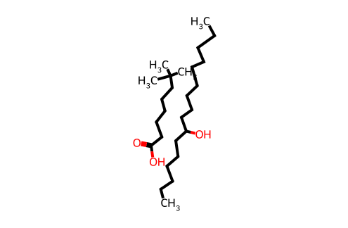 CC(C)(C)CCCCCC(=O)O.CCCCCCCCCC(O)CCCCCC